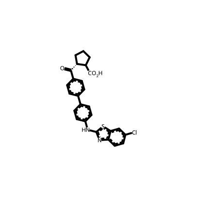 O=C(O)C1CCC[C@H]1C(=O)c1ccc(-c2ccc(Nc3nc4ccc(Cl)cc4s3)cc2)cc1